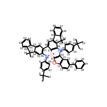 CC(C)(C)c1ccc(N2B3c4oc5ccc(-c6ccccc6)cc5c4N(c4ccc(C(C)(C)C)cc4)c4c3c(cc3c4C(C)(C)c4ccccc4-3)-c3cc4c(cc32)C(C)(C)c2ccccc2-4)cc1